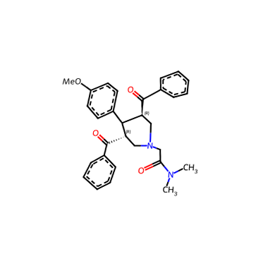 COc1ccc(C2[C@@H](C(=O)c3ccccc3)CN(CC(=O)N(C)C)C[C@@H]2C(=O)c2ccccc2)cc1